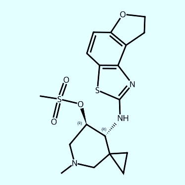 CN1C[C@@H](OS(C)(=O)=O)[C@H](Nc2nc3c4c(ccc3s2)OCC4)C2(CC2)C1